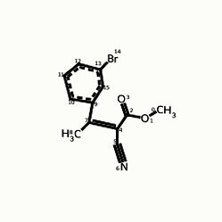 COC(=O)C(C#N)=C(C)c1cccc(Br)c1